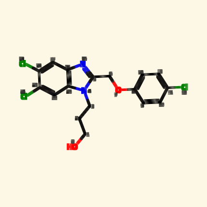 OCCCn1c(COc2ccc(Cl)cc2)nc2cc(Cl)c(Cl)cc21